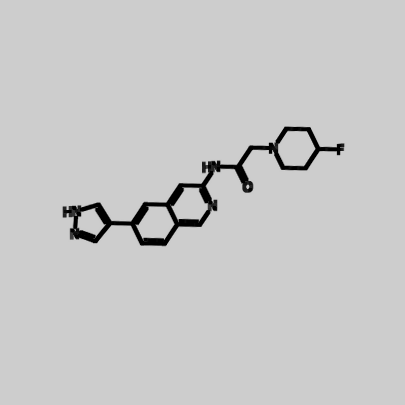 O=C(CN1CCC(F)CC1)Nc1cc2cc(-c3cn[nH]c3)ccc2cn1